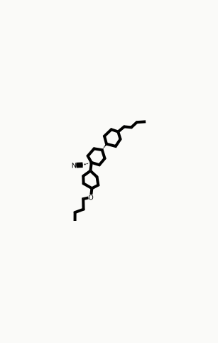 CCCCOC1CCC([C@]2(C#N)CC[C@@H](C3CCC(CCCC)CC3)CC2)CC1